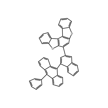 c1ccc(-c2c3ccccc3c(-c3cc(-c4cc5oc6ccccc6c5c5c4oc4ccccc45)cc4ccccc34)c3ccccc23)cc1